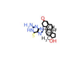 C[C@]12CC[C@H]3[C@@H](CCC4=CC(=O)CC(n5cnc6c(=S)[nH]c(N)nc65)[C@@]43C)[C@@H]1CC[C@@H]2O